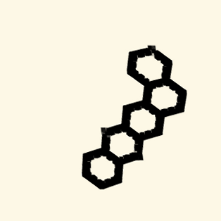 c1ccc2nc3cc4c(ccc5cnccc54)cc3nc2c1